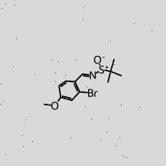 COc1ccc(C=N[S+]([O-])C(C)(C)C)c(Br)c1